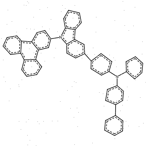 c1ccc(-c2ccc(N(c3ccccc3)c3ccc(-c4ccc5c(c4)c4ccccc4n5-c4ccc5c6ccccc6c6ccccc6c5c4)cc3)cc2)cc1